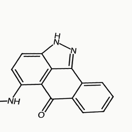 CNc1ccc2[nH]nc3c2c1C(=O)c1ccccc1-3